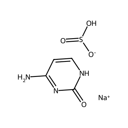 Nc1cc[nH]c(=O)n1.O=S([O-])O.[Na+]